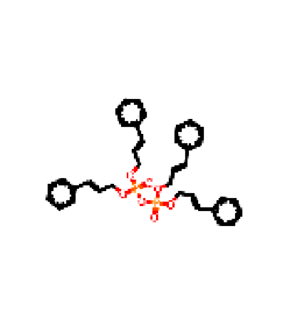 O=P(OC/C=C/c1ccccc1)(OC/C=C/c1ccccc1)OP(=O)(OC/C=C/c1ccccc1)OC/C=C/c1ccccc1